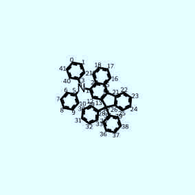 c1ccc(N(c2ccccc2)c2cc3c(c4ccccc24)-c2ccccc2C3(c2ccccc2)c2ccccc2)cc1